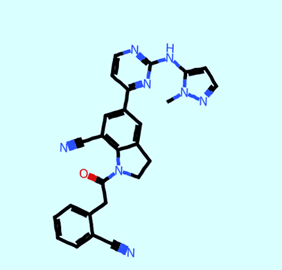 Cn1nccc1Nc1nccc(-c2cc(C#N)c3c(c2)CCN3C(=O)Cc2ccccc2C#N)n1